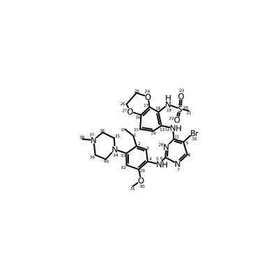 CCc1cc(Nc2ncc(Br)c(Nc3ccc4c(c3NS(C)(=O)=O)OCCO4)n2)c(OC)cc1N1CCN(C)CC1